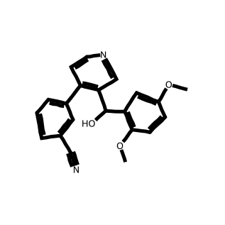 COc1ccc(OC)c(C(O)c2cnccc2-c2cccc(C#N)c2)c1